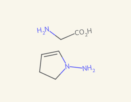 NCC(=O)O.NN1C=CCC1